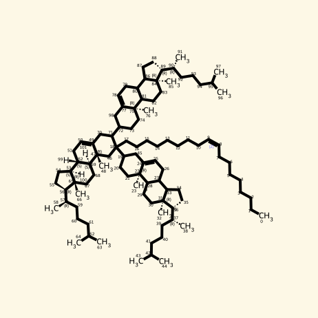 CCCCCCCC/C=C\CCCCCCCCC1(C2CC[C@@]3(C)C(=CCC4C3CC[C@@]3(C)C4CC[C@@H]3[C@H](C)CCCC(C)C)C2)C[C@@]2(C)C(=CC[C@H]3[C@@H]4CC[C@H]([C@H](C)CCCC(C)C)[C@@]4(C)CC[C@@H]32)C[C]1C1CC[C@@]2(C)C(=CCC3C2CC[C@@]2(C)C3CC[C@@H]2[C@H](C)CCCC(C)C)C1